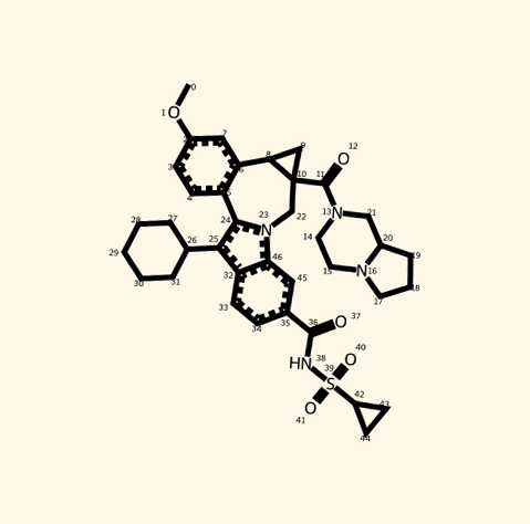 COc1ccc2c(c1)C1CC1(C(=O)N1CCN3CCCC3C1)Cn1c-2c(C2CCCCC2)c2ccc(C(=O)NS(=O)(=O)C3CC3)cc21